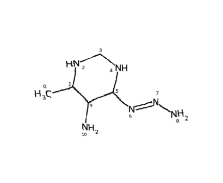 CC1NCNC(N=NN)C1N